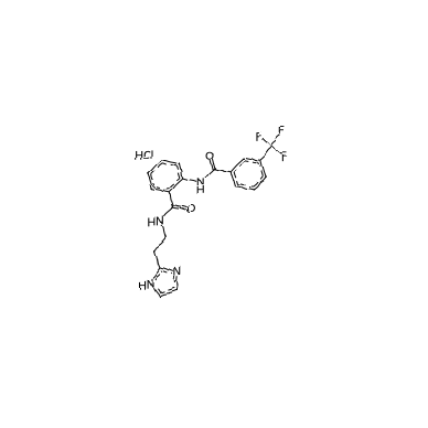 Cl.O=C(Nc1ccccc1C(=O)NCCc1ncc[nH]1)c1cccc(C(F)(F)F)c1